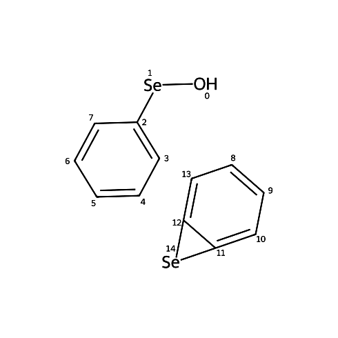 O[Se]c1ccccc1.c1ccc2c(c1)[Se]2